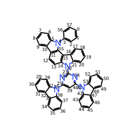 c1ccc(-n2c3ccccc3c3ccc4c(c5ccccc5n4-c4nc(-n5c6ccccc6c6ccccc65)cc(-n5c6ccccc6c6ccccc65)n4)c32)cc1